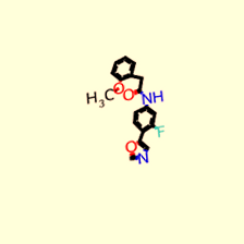 COc1ccccc1CC(=O)Nc1ccc(-c2cnco2)c(F)c1